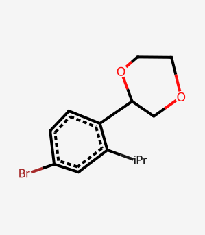 CC(C)c1cc(Br)ccc1C1COCCO1